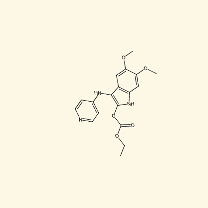 CCOC(=O)Oc1[nH]c2cc(OC)c(OC)cc2c1Nc1ccncc1